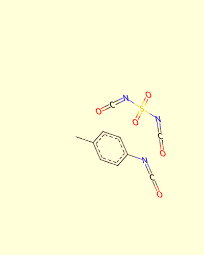 Cc1ccc(N=C=O)cc1.O=C=NS(=O)(=O)N=C=O